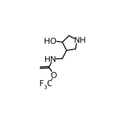 C=C(NCC1CNCC1O)OC(F)(F)F